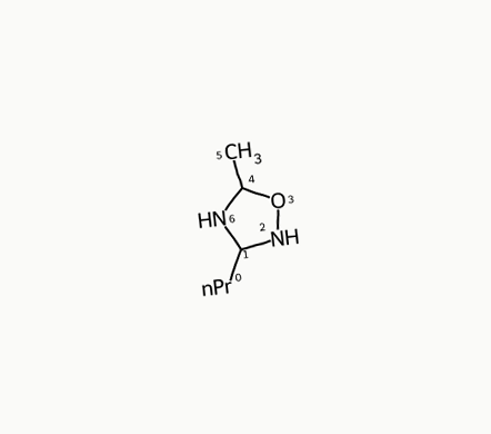 CCCC1NOC(C)N1